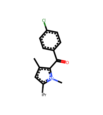 Cc1cc(C(C)C)n(C)c1C(=O)c1ccc(Cl)cc1